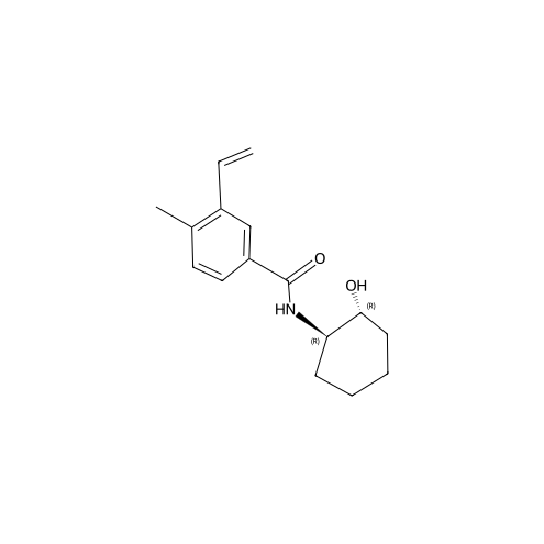 C=Cc1cc(C(=O)N[C@@H]2CCCC[C@H]2O)ccc1C